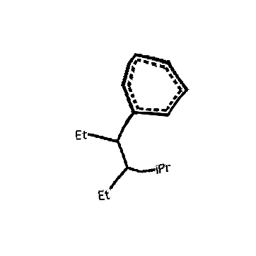 CC[C](C(C)C)C(CC)c1ccccc1